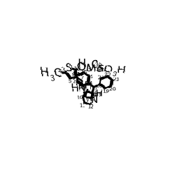 COc1sc(C)cc1CN[C@H]1C2CCN(CC2)[C@H]1C(c1ccccc1)c1ccccc1.CS(=O)(=O)O